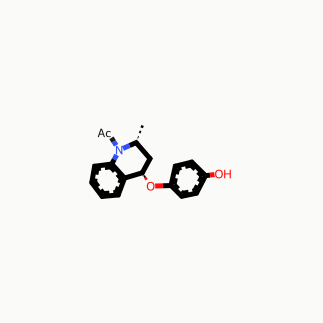 CC(=O)N1c2ccccc2[C@@H](Oc2ccc(O)cc2)C[C@H]1C